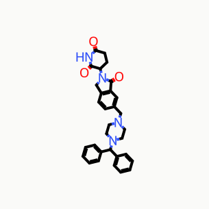 O=C1CCC(N2Cc3ccc(CN4CCN(C(c5ccccc5)c5ccccc5)CC4)cc3C2=O)C(=O)N1